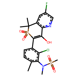 Cc1ccc(C2=C(O)c3ncc(F)cc3C(C)(C)S2(=O)=O)c(Cl)c1N(C)S(C)(=O)=O